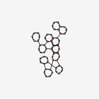 c1ccc(-c2ccccc2-c2c(-c3ccccc3)cccc2N(c2ccc(-c3cccc4ccccc34)cc2)c2ccc3c(c2)C2(c4ccccc4-c4ccccc42)c2ccccc2-3)cc1